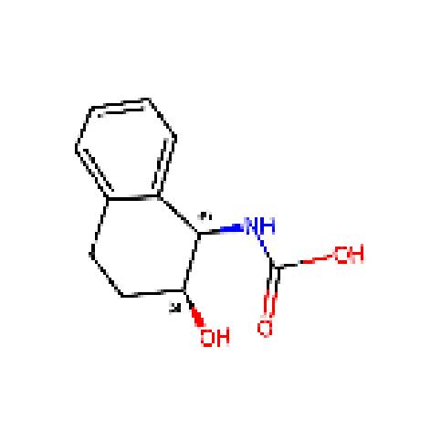 O=C(O)N[C@@H]1c2ccccc2CC[C@@H]1O